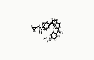 N[C@H]1CC[C@H](Nc2ccc3ncc(-c4cnc(NCC5CC5)nc4)n3n2)CC1